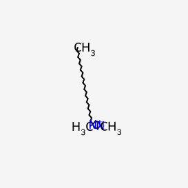 CCCCCCCCCCCCCCCCCCCCCCCC[N+]1(C)CCN(C)CC1